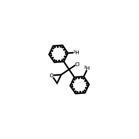 [2H]c1ccccc1C(Cl)(c1ccccc1[2H])C1CO1